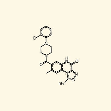 CCCc1nnc2c(=O)[nH]c3cc(C(=O)N4CCN(c5ccccc5Cl)CC4)c(C)cc3n12